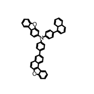 C1=CC2C=CC=C(c3ccc(N(c4ccc(-c5ccc6c(ccc7oc8ccccc8c76)c5)cc4)c4ccc5c(c4)oc4ccccc45)cc3)C2C=C1